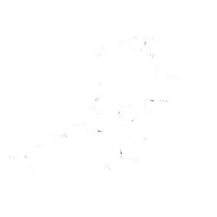 CC[C@H]1OC(=O)[C@H](C)[C@@H](OC(=O)CCNCCCN(CC)CC)[C@H](C)[C@@H](O[C@@H]2O[C@H](C)C[C@H](N(C)C)[C@H]2O)[C@](C)(OC)C[C@@H](C)C(=O)N[C@H](C)[C@@H](O)[C@]1(C)O